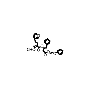 O=[C]OC(CCc1cccnc1)C(=O)OC(CC(=O)OCCOc1ccccc1)Cc1ccccc1